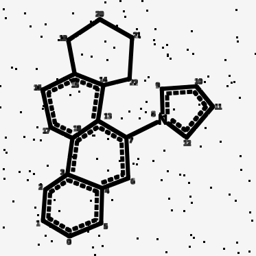 c1ccc2c(c1)cc(-n1cccc1)c1c3c(ccc12)CCCC3